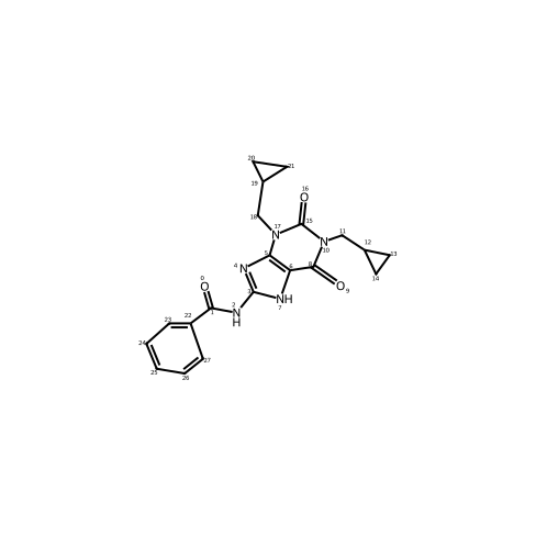 O=C(Nc1nc2c([nH]1)c(=O)n(CC1CC1)c(=O)n2CC1CC1)c1ccccc1